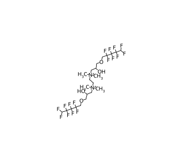 C[N+](C)(CC[N+](C)(C)CC(O)COCC(F)(F)C(F)(F)C(F)(F)C(F)F)CC(O)COCC(F)(F)C(F)(F)C(F)(F)C(F)F